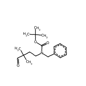 CC(C)(C=O)CCN(Cc1ccccc1)C(=O)OC(C)(C)C